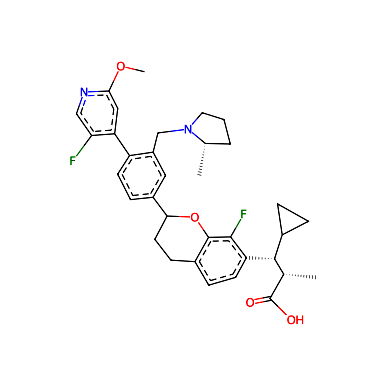 COc1cc(-c2ccc(C3CCc4ccc([C@H](C5CC5)[C@H](C)C(=O)O)c(F)c4O3)cc2CN2CCC[C@@H]2C)c(F)cn1